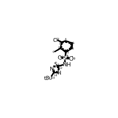 Cc1c(Cl)cccc1S(=O)(=O)Nc1nc(C(C)(C)C)ns1